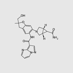 CC1(CO)Cc2cc(NC(=O)c3cnn4cccnc34)c(N3C[C@@H]4C(C(N)=O)[C@@H]4C3)cc2O1